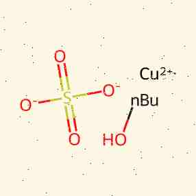 CCCCO.O=S(=O)([O-])[O-].[Cu+2]